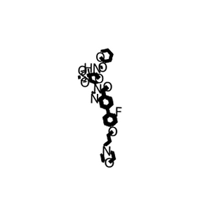 C[C@](CCn1cnc2cc(-c3ccc(OCCCN4CCOCC4)cc3F)ccc2c1=O)(C(=O)NOC1CCCCO1)S(C)(=O)=O